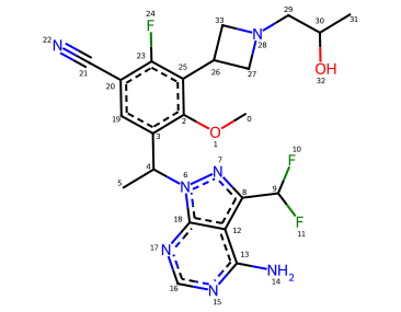 COc1c(C(C)n2nc(C(F)F)c3c(N)ncnc32)cc(C#N)c(F)c1C1CN(CC(C)O)C1